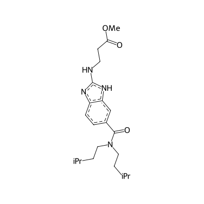 COC(=O)CCNc1nc2ccc(C(=O)N(CCC(C)C)CCC(C)C)cc2[nH]1